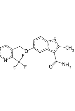 Cc1sc2ccc(OCc3cccnc3C(F)(F)F)cc2c1C(N)=O